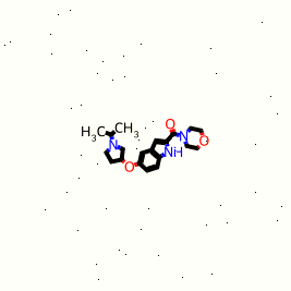 CC(C)N1CCC(Oc2ccc3[nH]c(C(=O)N4CCOCC4)cc3c2)C1